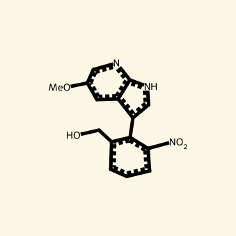 COc1cnc2[nH]cc(-c3c(CO)cccc3[N+](=O)[O-])c2c1